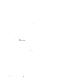 CC(C)C[C@@H](CN[C@H](C(=O)NC(C)CCC(=O)O)C(C)(C)C)CC(=O)NO